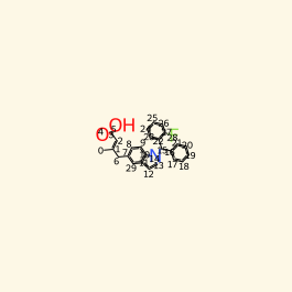 CC(=CC(=O)O)Cc1ccc2c(ccn2C(c2ccccc2)c2ccccc2F)c1